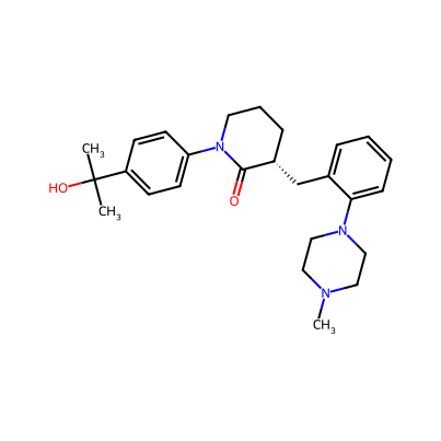 CN1CCN(c2ccccc2C[C@H]2CCCN(c3ccc(C(C)(C)O)cc3)C2=O)CC1